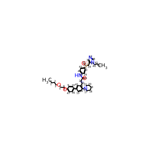 CCCCOCCOc1ccc(-c2ccc(N3CCCCC3)c(/C=C/C(=O)Nc3ccc([S+]([O-])Cc4cncn4CCC)cc3)c2)cc1